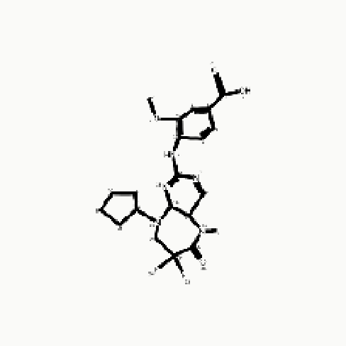 COc1cc(C(=O)O)ccc1NC1=NC2C(C=N1)N(C)C(=O)C(F)(F)CN2C1CCCC1